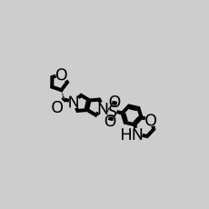 O=C([C@@H]1CCOC1)N1CC2=C(C1)CN(S(=O)(=O)c1ccc3c(c1)NCCO3)C2